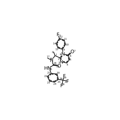 CC(c1nccc(=O)n1-c1ccc(F)cc1)N(C)C(=O)Nc1cccc(C(F)(F)F)c1